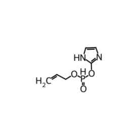 C=CCO[PH](=O)Oc1ncc[nH]1